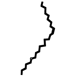 CCCCCCCC/C=C\CCCCCCCCOCCCCC